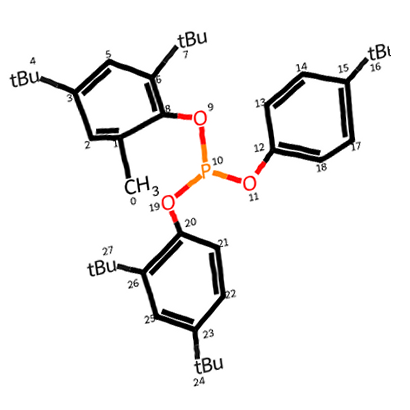 Cc1cc(C(C)(C)C)cc(C(C)(C)C)c1OP(Oc1ccc(C(C)(C)C)cc1)Oc1ccc(C(C)(C)C)cc1C(C)(C)C